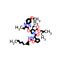 C=CCCC[C@@H]1C[C@H]1OC(=O)N[C@H](C(=O)N1C[C@H](Oc2nc3cc(OC)ccc3nc2C=C)[C@@H](CC)[C@H]1C(=O)OCC(C)C)C1CCCC1